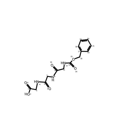 O=C(O)CNC(=O)CNC(=O)CNC(=O)OCc1ccccc1